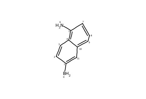 Bc1ccc2c(N)cccc2c1